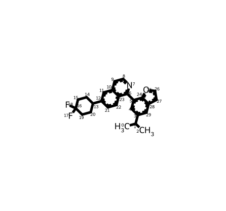 CC(C)c1cc(-c2nccc3cc(C4CCC(F)(F)CC4)ccc23)c2occc2c1